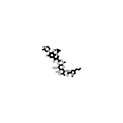 CCCC1CC(C(=O)N[C@H](C(C)Cl)[C@H]2O[C@H](SC)[C@H](OC(=O)c3cn(C4CC4)c4c(OC)c(N5CCNC(C)C5)c(F)cc4c3=O)[C@@H](O)[C@H]2O)N(C)C1